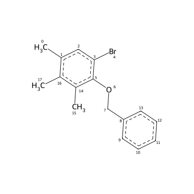 Cc1cc(Br)c(OCc2ccccc2)c(C)c1C